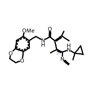 C=N/C(NC1(C)CC1)=C(\C)C(C(=O)NCc1cc2c(cc1OC)OCCO2)=C(C)C